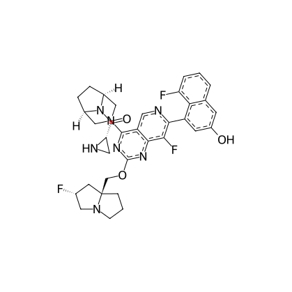 O=C([C@@H]1CN1)N1[C@@H]2CC[C@H]1CN(c1nc(OC[C@@]34CCCN3C[C@H](F)C4)nc3c(F)c(-c4cc(O)cc5cccc(F)c45)ncc13)C2